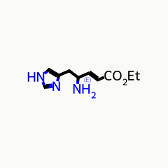 CCOC(=O)/C=C/C(N)Cc1c[nH]cn1